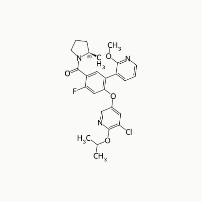 COc1ncccc1-c1cc(C(=O)N2CCC[C@H]2C)c(F)cc1Oc1cnc(OC(C)C)c(Cl)c1